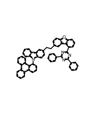 c1ccc(-c2nc(-c3ccccc3)nc(-c3cccc4oc5ccc(CCc6ccc7c(c6)c6ccccc6n7-c6cccc7c8ccccc8c8ccccc8c67)cc5c34)n2)cc1